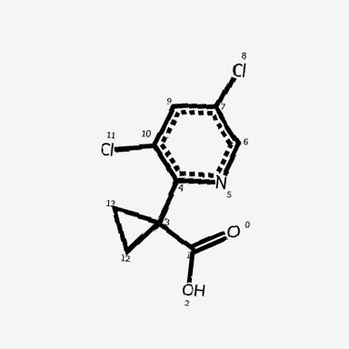 O=C(O)C1(c2ncc(Cl)cc2Cl)CC1